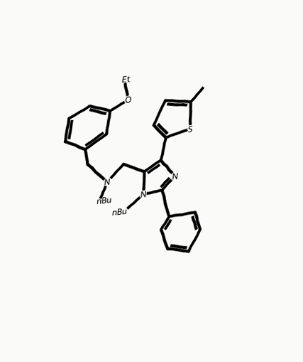 CCCCN(Cc1cccc(OCC)c1)Cc1c(-c2ccc(C)s2)nc(-c2ccccc2)n1CCCC